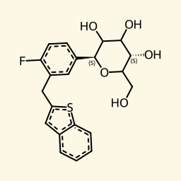 OCC1O[C@@H](c2ccc(F)c(Cc3cc4ccccc4s3)c2)C(O)C(O)[C@@H]1O